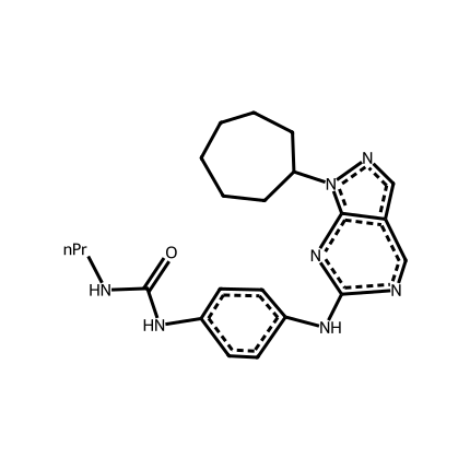 CCCNC(=O)Nc1ccc(Nc2ncc3cnn(C4CCCCCC4)c3n2)cc1